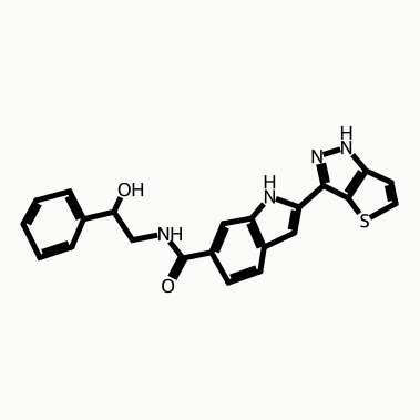 O=C(NCC(O)c1ccccc1)c1ccc2cc(-c3n[nH]c4ccsc34)[nH]c2c1